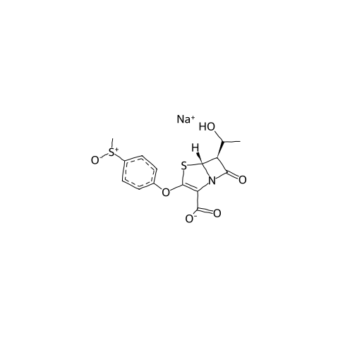 CC(O)[C@H]1C(=O)N2C(C(=O)[O-])=C(Oc3ccc([S+](C)[O-])cc3)S[C@H]12.[Na+]